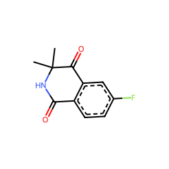 CC1(C)NC(=O)c2ccc(F)cc2C1=O